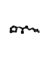 C=CCOC(=O)Cc1ccoc1